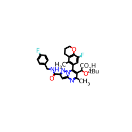 Cc1nc2cc(C(=O)NCc3ccc(F)cc3)nn2c(-c2cc(F)c3c(c2C)CCCO3)c1C(OC(C)(C)C)C(=O)O